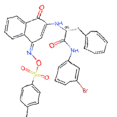 CC(C)(C)c1ccc(S(=O)(=O)ON=C2C=C(N[C@H](Cc3ccccc3)C(=O)Nc3cccc(Br)c3)C(=O)c3ccccc32)cc1